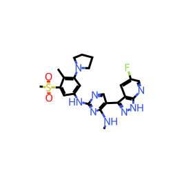 CNc1nc(Nc2cc(N3CCCC3)c(C)c(S(C)(=O)=O)c2)ncc1-c1n[nH]c2ncc(F)cc12